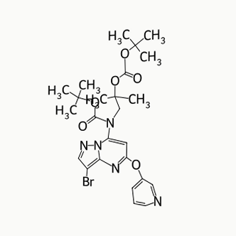 CC(C)(C)OC(=O)OC(C)(C)CN(C(=O)OC(C)(C)C)c1cc(Oc2cccnc2)nc2c(Br)cnn12